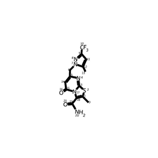 Cc1sc2nc(Cn3nc(C(F)(F)F)cc3C)cc(=O)n2c1C(N)=O